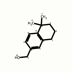 CC1(C)CCCc2cc(CO)ccc21